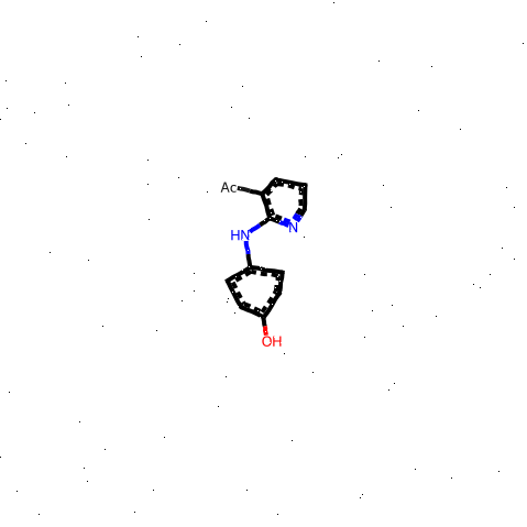 CC(=O)c1cccnc1Nc1ccc(O)cc1